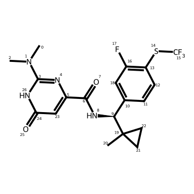 CN(C)c1nc(C(=O)N[C@@H](c2ccc(SC(F)(F)F)c(F)c2)C2(C)CC2)cc(=O)[nH]1